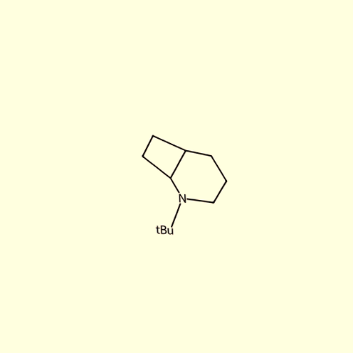 CC(C)(C)N1CCCC2CCC21